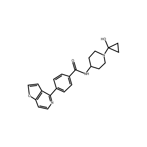 O=C(NC1CCN(C2(O)CC2)CC1)c1ccc(-c2nccc3occc23)cc1